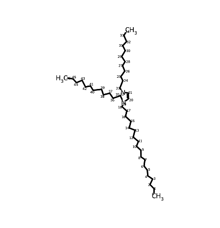 CCCCCCCCCCCCCCCCCCCN1C=CN(CCCCCCCCCCCC)C1CCCCCCCCCCC